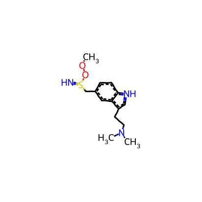 COOS(=N)Cc1ccc2[nH]cc(CCN(C)C)c2c1